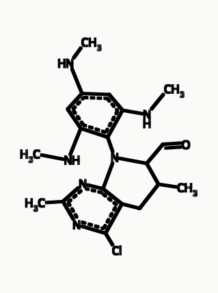 CNc1cc(NC)c(N2c3nc(C)nc(Cl)c3CC(C)C2C=O)c(NC)c1